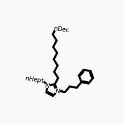 CCCCCCCCCCCCCCCCCCc1n(CCCCCCC)cc[n+]1CCCc1ccccc1